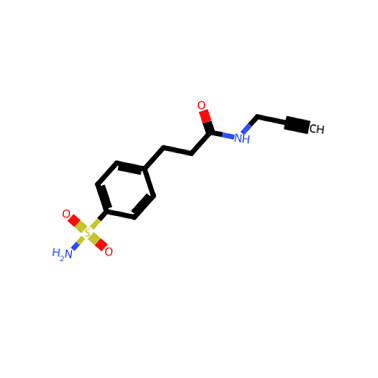 C#CCNC(=O)CCc1ccc(S(N)(=O)=O)cc1